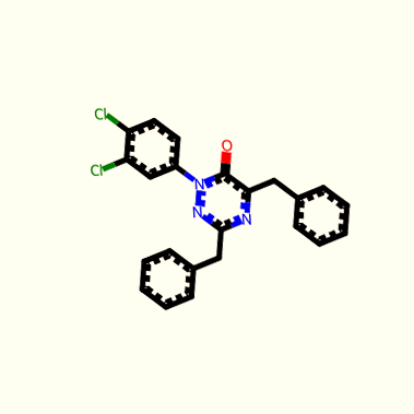 O=c1c(Cc2ccccc2)nc(Cc2ccccc2)nn1-c1ccc(Cl)c(Cl)c1